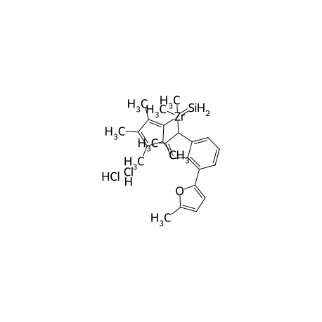 CC1=Cc2c(-c3ccc(C)o3)cccc2[CH]1[Zr]([CH3])([CH3])(=[SiH2])[C]1=C(C)C(C)=C(C)C1C.Cl.Cl